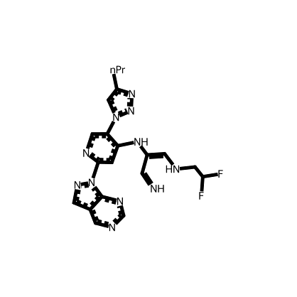 CCCc1cn(-c2cnc(-n3ncc4cncnc43)cc2N/C(C=N)=C/NCC(F)F)nn1